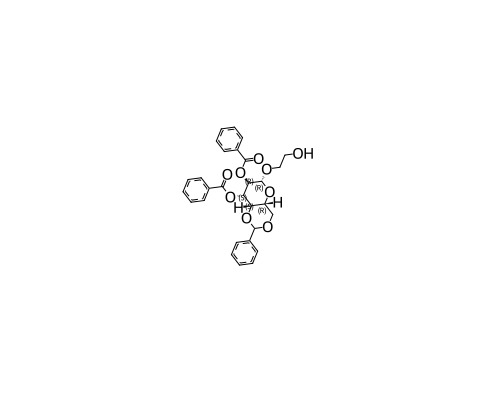 O=C(O[C@H]1[C@H]2OC(c3ccccc3)OC[C@H]2O[C@@H](OCCO)[C@@H]1OC(=O)c1ccccc1)c1ccccc1